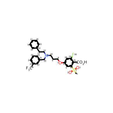 CS(=O)(=O)c1cc(OCCCN(CCc2ccccc2)Cc2cccc(C(F)(F)F)c2)cc(F)c1C(=O)O